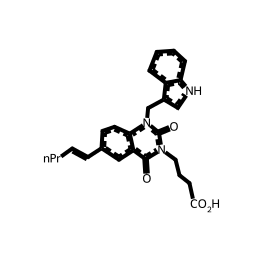 CCCC=Cc1ccc2c(c1)c(=O)n(CCCC(=O)O)c(=O)n2Cc1c[nH]c2ccccc12